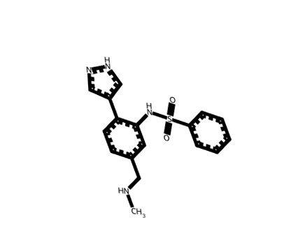 CNCc1ccc(-c2cn[nH]c2)c(NS(=O)(=O)c2ccccc2)c1